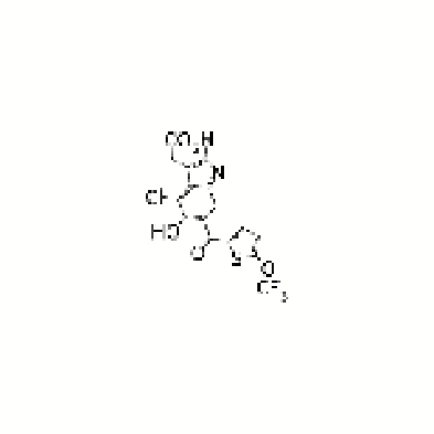 CC1=C(CC(=O)O)C2=C(Cl)C(O)=C(C(=O)c3ccc(OC(F)(F)F)s3)CC2=N1